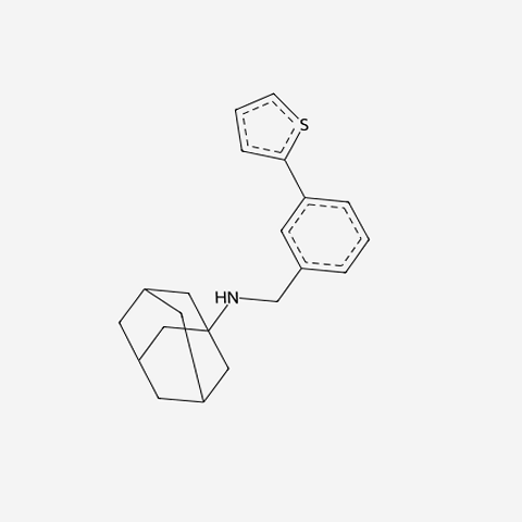 c1cc(CNC23CC4CC(CC(C4)C2)C3)cc(-c2cccs2)c1